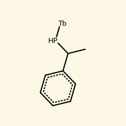 CC([PH][Tb])c1ccccc1